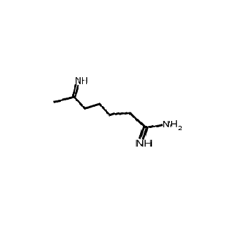 CC(=N)CCCCC(=N)N